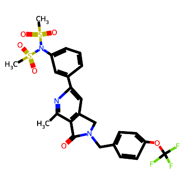 Cc1nc(-c2cccc(N(S(C)(=O)=O)S(C)(=O)=O)c2)cc2c1C(=O)N(Cc1ccc(OC(F)(F)F)cc1)C2